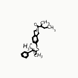 CCC(C)C(=O)N1Cc2ccc(SN(C)[C@@H](C)c3ccccc3)cc2C1